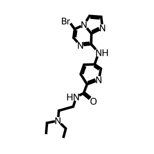 CCN(CC)CCNC(=O)c1ccc(Nc2ncc(Br)n3ccnc23)cn1